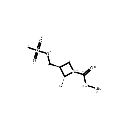 C[C@@H]1[C@@H](COS(C)(=O)=O)CN1C(=O)OC(C)(C)C